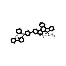 CC1(C)c2ccccc2-c2c1c1ccc3cc(-c4ccc(N(c5ccccc5)c5cccc6c5oc5ccccc56)cc4)ccc3c1c1ccccc21